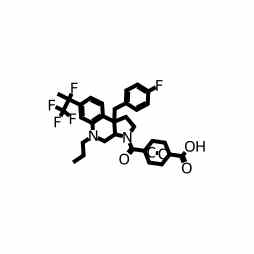 CCCN1CC2N(C(=O)C34CCC(C(=O)O)(CC3)CC4)CCC2(Cc2ccc(F)cc2)c2ccc(C(C)(F)C(F)(F)F)cc21